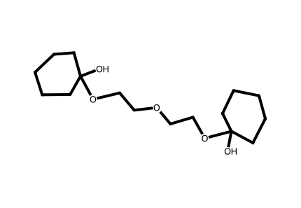 OC1(OCCOCCOC2(O)CCCCC2)CCCCC1